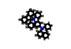 c1ccc(-c2ccccc2N(c2ccccc2)c2ccc3c(c2)c2ccccc2n3C2(c3ccccc3)c3ccccc3-c3ccccc32)cc1